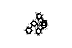 C1=CC(n2c3ccccc3c3ccccc32)(n2c3ccccc3c3ccccc32)CC(c2ccccc2)=C1